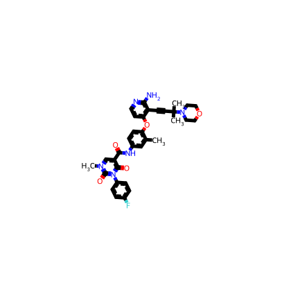 Cc1cc(NC(=O)c2cn(C)c(=O)n(-c3ccc(F)cc3)c2=O)ccc1Oc1ccnc(N)c1C#CC(C)(C)N1CCOCC1